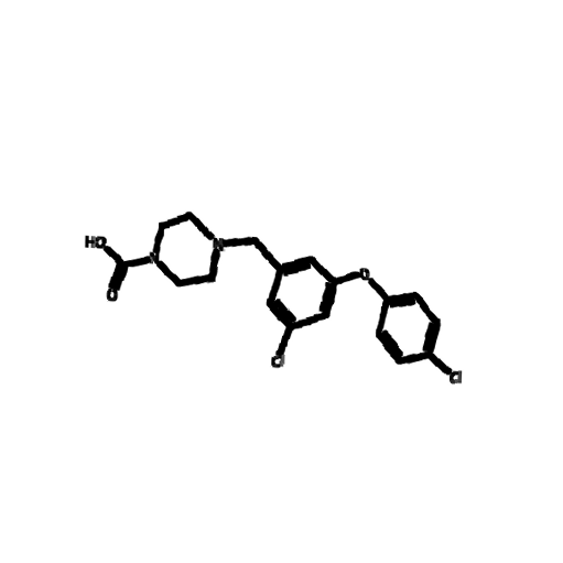 O=C(O)N1CCN(Cc2cc(Cl)cc(Oc3ccc(Cl)cc3)c2)CC1